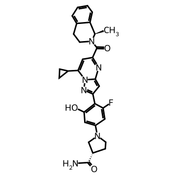 C[C@@H]1c2ccccc2CCN1C(=O)c1cc(C2CC2)n2nc(-c3c(O)cc(N4CC[C@H](C(N)=O)C4)cc3F)cc2n1